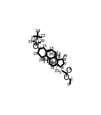 CCOC(=O)C[C@H]1C[C@H](C)[C@H]2[C@@H]3CC=C4C[C@@H](O[Si](C)(C)C(C)(C)C)CC[C@]4(C)[C@H]3CC[C@]12C